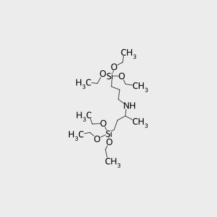 CCO[Si](CCCNC(C)CC[Si](OCC)(OCC)OCC)(OCC)OCC